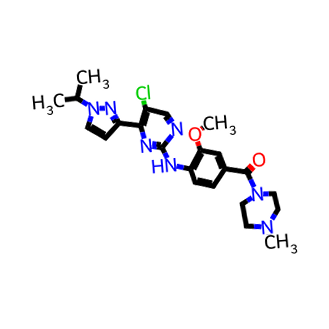 COc1cc(C(=O)N2CCN(C)CC2)ccc1Nc1ncc(Cl)c(-c2ccn(C(C)C)n2)n1